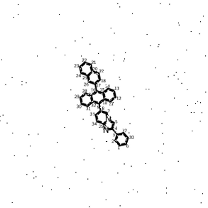 c1ccc(-c2cn3cc(-c4c5ccccc5c(-c5ccc6ccccc6c5)c5ccccc45)ccc3n2)cc1